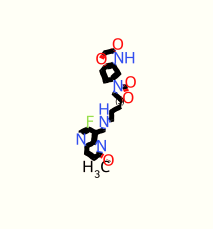 COc1ccc2ncc(F)c(CNCCC[C@H]3CN(c4ccc5c(c4)NC(=O)CO5)C(=O)O3)c2n1